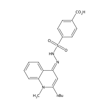 CCCCc1c/c(=N/NS(=O)(=O)c2ccc(C(=O)O)cc2)c2ccccc2n1C